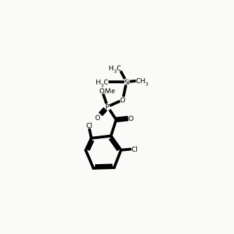 COP(=O)(O[Si](C)(C)C)C(=O)c1c(Cl)cccc1Cl